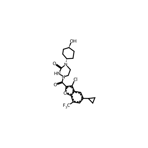 O=C(c1oc2c(C(F)(F)F)cc(C3CC3)cc2c1Cl)N1CCN([C@H]2CC[C@H](O)CC2)C(=O)N1